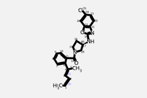 C/C=C\C=C(/C)c1ccccc1C(=O)N1CC[C@@H](Nc2nc3ccc(Cl)cc3o2)C1